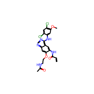 C=CC(=O)Nc1cc2c(Nc3cc(OC)c(Cl)cc3Cl)ncnc2cc1OCCNC(C)=O